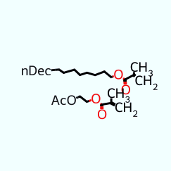 C=C(C)C(=O)OCCCCCCCCCCCCCCCCCC.C=C(C)C(=O)OCCOC(C)=O